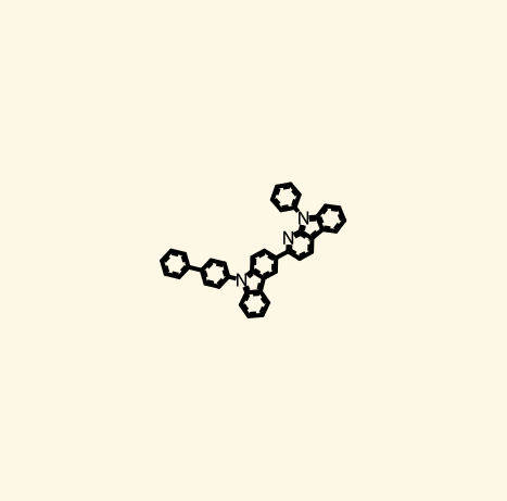 c1ccc(-c2ccc(-n3c4ccccc4c4cc(-c5ccc6c7ccccc7n(-c7ccccc7)c6n5)ccc43)cc2)cc1